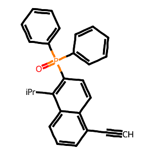 C#Cc1cccc2c(C(C)C)c(P(=O)(c3ccccc3)c3ccccc3)ccc12